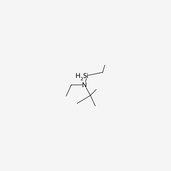 CC[SiH2]N(CC)C(C)(C)C